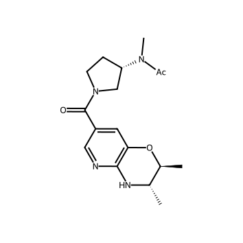 CC(=O)N(C)[C@H]1CCN(C(=O)c2cnc3c(c2)O[C@@H](C)[C@H](C)N3)C1